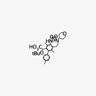 Cc1ccc(-c2c(C)c3c(c(C)c2C(OC(C)(C)C)C(=O)O)NS(=O)(=O)N(C2CCOCC2)CC3)cc1